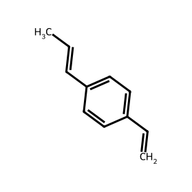 C=Cc1ccc(/C=C/C)cc1